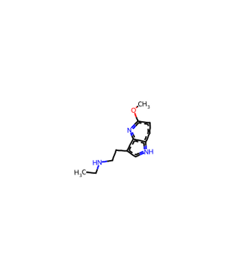 CCNCCc1c[nH]c2ccc(OC)nc12